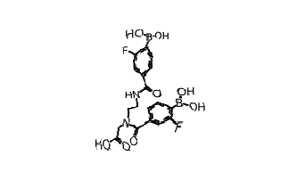 O=C(O)CN(CCNC(=O)c1ccc(B(O)O)c(F)c1)C(=O)c1ccc(B(O)O)c(F)c1